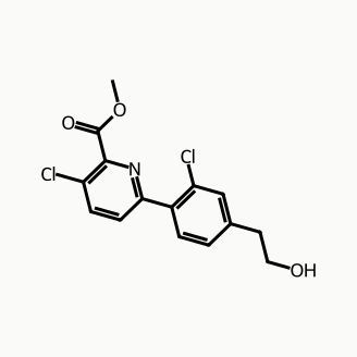 COC(=O)c1nc(-c2ccc(CCO)cc2Cl)ccc1Cl